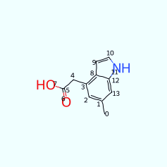 Cc1cc(CC(=O)O)c2cc[nH]c2c1